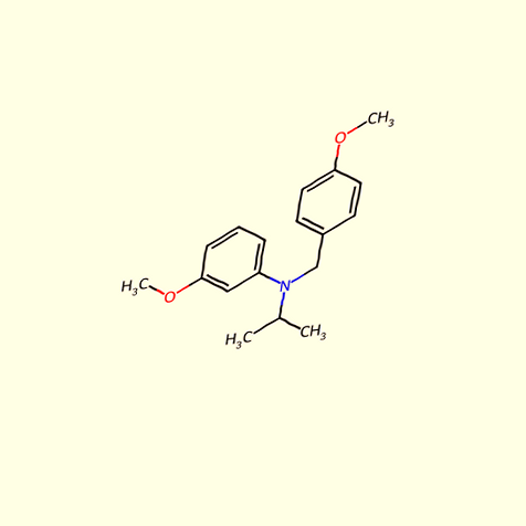 COc1ccc(CN(c2cccc(OC)c2)C(C)C)cc1